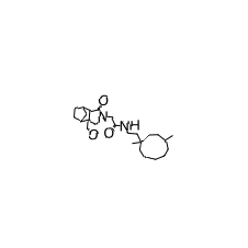 CC1CCCCCC(C)(CCNC(=O)CN2CC3(C=O)C4CCC(C4)C3C2=O)CC1